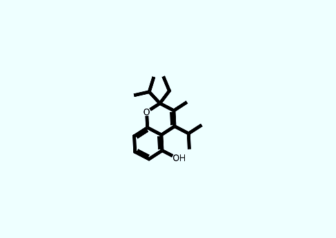 CCC1(C(C)C)Oc2cccc(O)c2C(C(C)C)=C1C